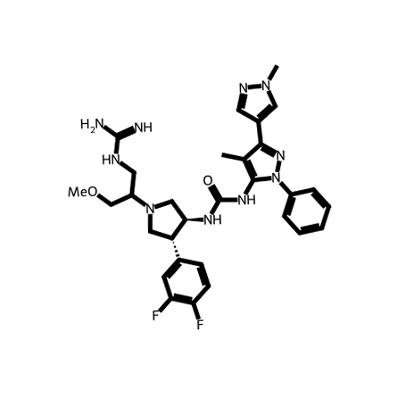 COCC(CNC(=N)N)N1C[C@@H](NC(=O)Nc2c(C)c(-c3cnn(C)c3)nn2-c2ccccc2)[C@H](c2ccc(F)c(F)c2)C1